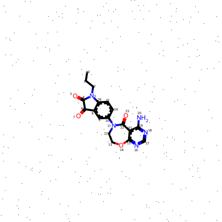 CCCN1C(=O)C(=O)c2cc(N3CCOc4ncnc(N)c4C3=O)ccc21